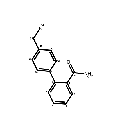 NC(=O)c1ccccc1-c1ccc(CBr)cc1